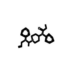 C=CCN(c1ccccc1)C(C)N1CCC(N(C(=O)CC)c2ccccc2)CC1